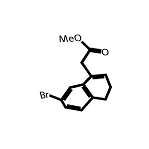 COC(=O)CC1=CCCc2ccc(Br)cc21